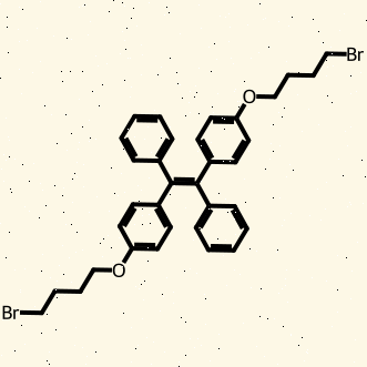 BrCCCCOc1ccc(/C(=C(\c2ccccc2)c2ccc(OCCCCBr)cc2)c2ccccc2)cc1